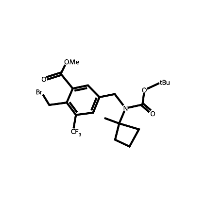 COC(=O)c1cc(CN(C(=O)OC(C)(C)C)C2(C)CCC2)cc(C(F)(F)F)c1CBr